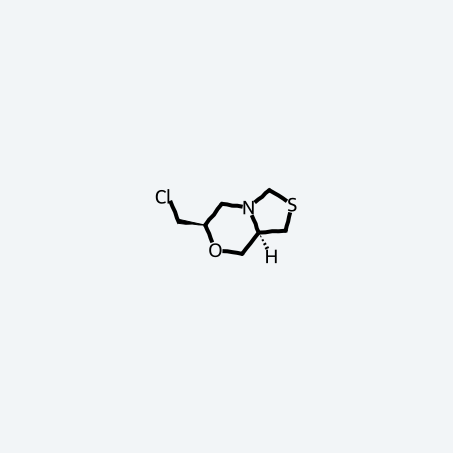 ClC[C@H]1CN2CSC[C@H]2CO1